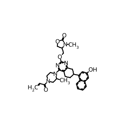 C=CC(=O)N1CCN(c2nc(OCC3COC(=O)N3C)nc3c2CCC(c2cc(O)cc4ccccc24)C3)C(C)C1